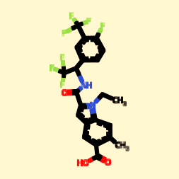 CCn1c(C(=O)NC(c2ccc(F)c(C(F)(F)F)c2)C(F)(F)F)cc2cc(C(=O)O)c(C)cc21